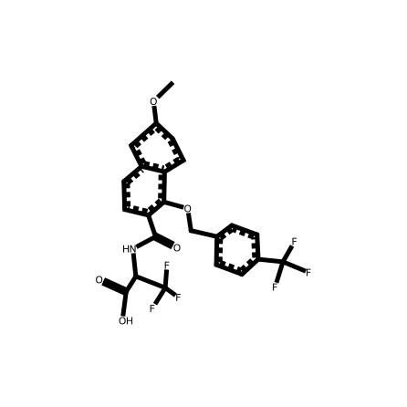 COc1ccc2c(OCc3ccc(C(F)(F)F)cc3)c(C(=O)NC(C(=O)O)C(F)(F)F)ccc2c1